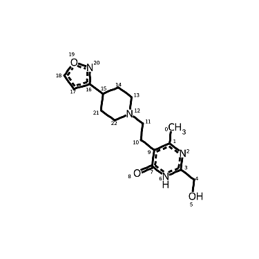 Cc1nc(CO)[nH]c(=O)c1CCN1CCC(c2ccon2)CC1